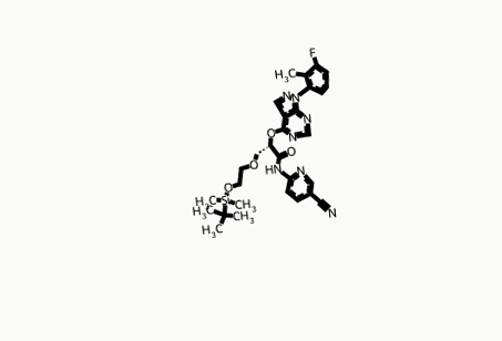 Cc1c(F)cccc1-n1ncc2c(O[C@@H](COCCO[Si](C)(C)C(C)(C)C)C(=O)Nc3ccc(C#N)cn3)ncnc21